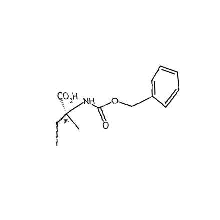 C[C@@](CI)(NC(=O)OCc1ccccc1)C(=O)O